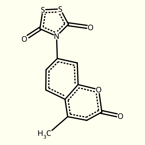 Cc1cc(=O)oc2cc(-n3c(=O)ssc3=O)ccc12